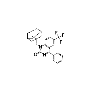 O=c1nc(-c2ccccc2)c2cc(C(F)(F)F)ccc2n1CC12CC3CC(CC(C3)C1)C2